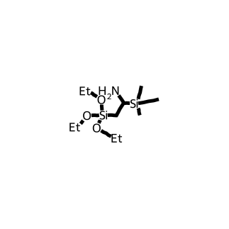 CCO[Si](CC(N)[Si](C)(C)C)(OCC)OCC